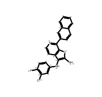 Nc1oc2c(-c3ccc4ccccc4c3)nccc2c1Nc1ccc(F)c(Cl)c1